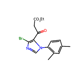 CCOC(=O)CC(=O)c1c(Br)ncn1-c1ccc(C)cc1C